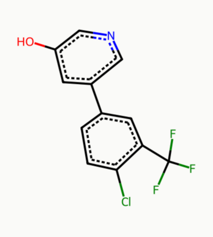 Oc1cncc(-c2ccc(Cl)c(C(F)(F)F)c2)c1